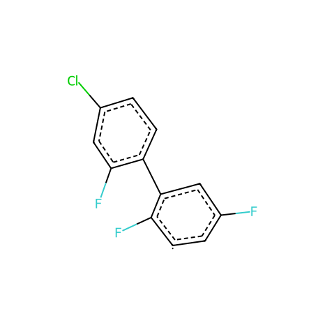 Fc1c[c]c(F)c(-c2ccc(Cl)cc2F)c1